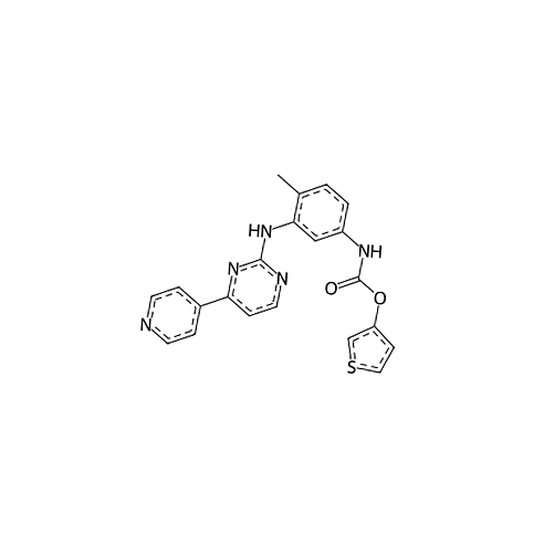 Cc1ccc(NC(=O)Oc2ccsc2)cc1Nc1nccc(-c2ccncc2)n1